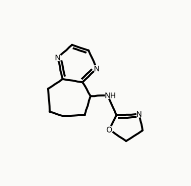 c1cnc2c(n1)CCCCC2NC1=NCCO1